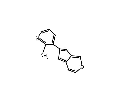 Nc1ncccc1-c1cc2ccocc-2c1